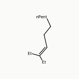 CCCCCCCC=C(CC)CC